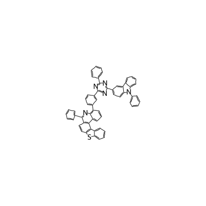 c1ccc(-c2nc(-c3cccc(-c4cccc5c4nc(-c4ccccc4)c4ccc6sc7ccccc7c6c45)c3)nc(-c3ccc4c(c3)c3ccccc3n4-c3ccccc3)n2)cc1